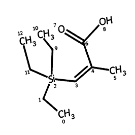 CC[Si](C=C(C)C(=O)O)(CC)CC